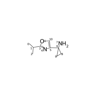 CC(C)c1nc(C2(N)CC2)co1